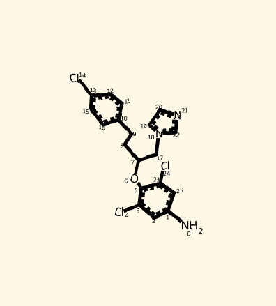 Nc1cc(Cl)c(OC(CCc2ccc(Cl)cc2)Cn2ccnc2)c(Cl)c1